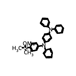 CO[Si](C)(C)c1ccc(N(c2ccccc2)c2ccc(N(c3ccccc3)c3ccccc3)cc2)cc1